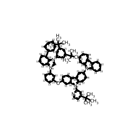 CC(C)(C)c1cc(-[n+]2cn(-c3cccc(Oc4ccc5c6cc(-n7c8ccccc8c8ccccc87)ccc6n(-c6cc(C(C)(C)C)ccn6)c5c4)c3)c3cccc(-c4ccccc4)c32)cc(C(C)(C)C)c1